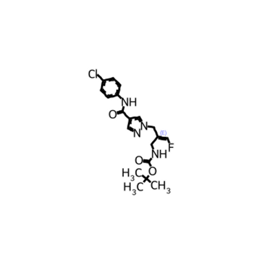 CC(C)(C)OC(=O)NC/C(=C\F)Cn1cc(C(=O)Nc2ccc(Cl)cc2)cn1